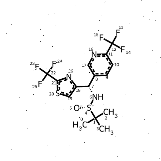 CC(C)(C)[S@+]([O-])N[C@@H](c1ccc(C(F)(F)F)nc1)c1csc(C(F)(F)F)n1